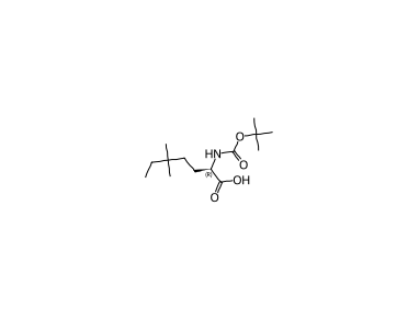 CCC(C)(C)CC[C@@H](NC(=O)OC(C)(C)C)C(=O)O